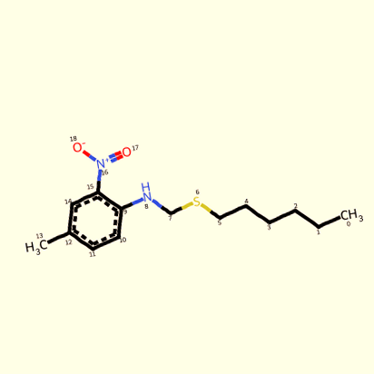 CCCCCCSCNc1ccc(C)cc1[N+](=O)[O-]